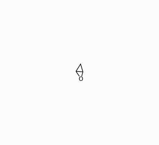 C1C2OC12